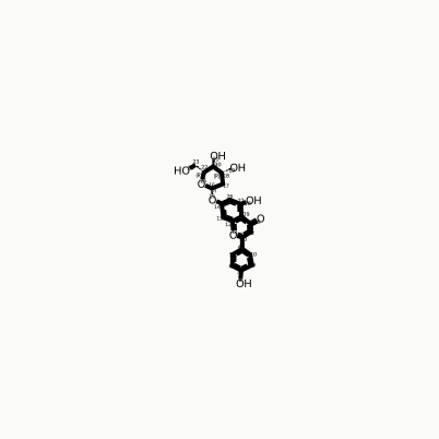 O=c1cc(-c2ccc(O)cc2)oc2cc(O[C@H]3C[C@@H](O)[C@H](O)[C@@H](CO)O3)cc(O)c12